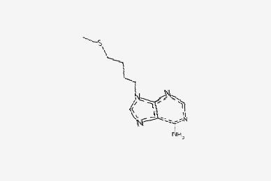 CSCCCCn1cnc2c(N)ncnc21